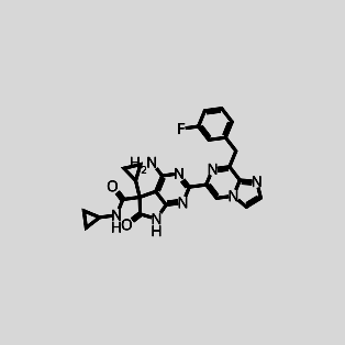 Nc1nc(-c2cn3ccnc3c(Cc3cccc(F)c3)n2)nc2c1C(C(=O)NC1CC1)(C1CC1)C(=O)N2